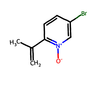 C=C(C)c1ccc(Br)c[n+]1[O-]